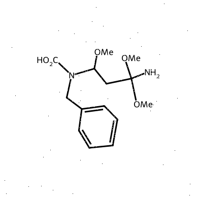 COC(CC(N)(OC)OC)N(Cc1ccccc1)C(=O)O